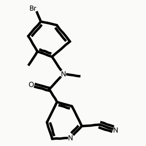 Cc1cc(Br)ccc1N(C)C(=O)c1ccnc(C#N)c1